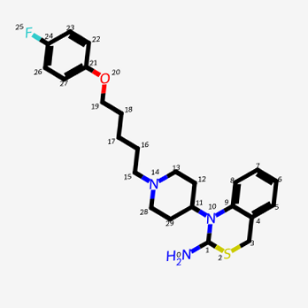 NC1SCc2ccccc2N1C1CCN(CCCCCOc2ccc(F)cc2)CC1